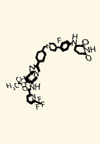 CC(C)Oc1cc2nc(C3CCC(CN4CCC(c5ccc(NC6CCC(=O)NC6=O)cc5F)CC4)CC3)cn2cc1NC(=O)c1cccc(C(F)(F)F)n1